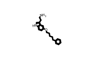 NCCc1c[nH]c2ccc(OCCCCCc3ccccc3)cc12